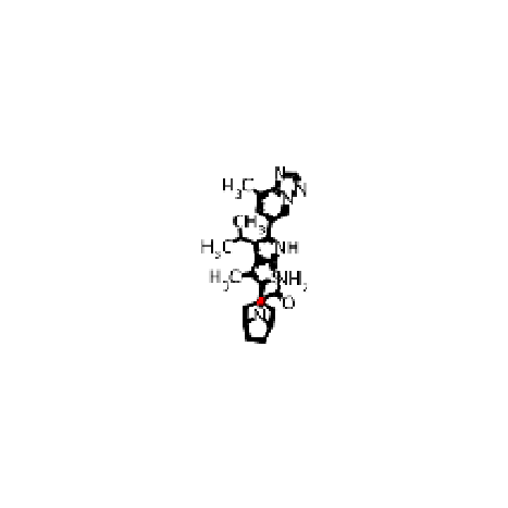 Cc1c(C2CC3CCC(C2)N3CC(N)=O)sc2[nH]c(-c3cc(C)c4ncnn4c3)c(C(C)C)c12